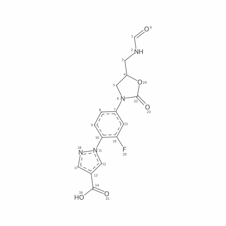 O=CNCC1CN(c2ccc(-n3cc(C(=O)O)cn3)c(F)c2)C(=O)O1